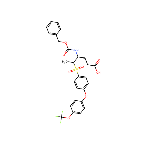 CC([C@H](CCC(=O)O)NC(=O)OCc1ccccc1)S(=O)(=O)c1ccc(Oc2ccc(OC(F)(F)F)cc2)cc1